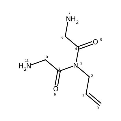 C=CCN(C(=O)CN)C(=O)CN